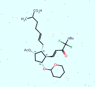 CCCCC(F)(F)C(=O)C=C[C@@H]1[C@@H](CC=CCCC(C)C(=O)O)[C@@H](OC(C)=O)C[C@H]1OC1CCCCO1